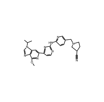 COc1nc(-c2ccnc(Nc3ccc(CN4CCC(C#N)C4)cn3)n2)cc2c1ncn2C(C)C